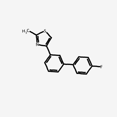 Cc1nc(-c2cccc(-c3ccc(F)cc3)c2)cs1